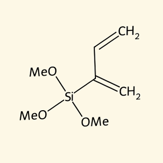 C=CC(=C)[Si](OC)(OC)OC